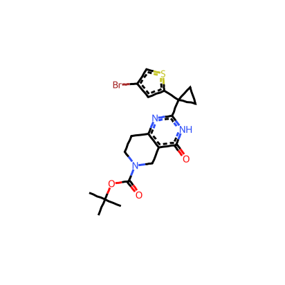 CC(C)(C)OC(=O)N1CCc2nc(C3(c4cc(Br)cs4)CC3)[nH]c(=O)c2C1